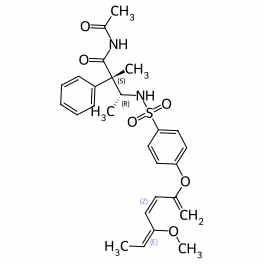 C=C(/C=C\C(=C/C)OC)Oc1ccc(S(=O)(=O)N[C@H](C)[C@@](C)(C(=O)NC(C)=O)c2ccccc2)cc1